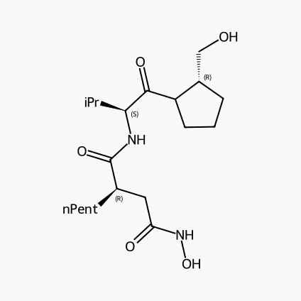 CCCCC[C@H](CC(=O)NO)C(=O)N[C@H](C(=O)C1CCC[C@H]1CO)C(C)C